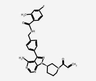 C=CC(=O)N1CCC[C@@H](n2nc(-c3ccc(CNC(=O)c4ccc(F)cc4C)cc3)c3c(N)ncnc32)C1